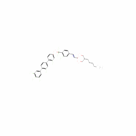 CCCCCC1COC(/C=C/c2ccc(C(F)(F)Oc3ccc(-c4ccc(-c5cc(F)c(F)c(F)c5)c(F)c4)c(F)c3)c(F)c2)OC1